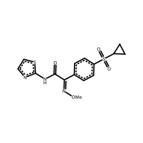 CO/N=C(/C(=O)Nc1nccs1)c1ccc(S(=O)(=O)C2CC2)cc1